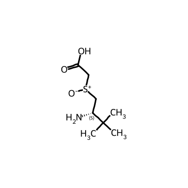 CC(C)(C)[C@H](N)C[S+]([O-])CC(=O)O